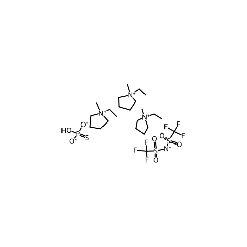 CC[N+]1(C)CCCC1.CC[N+]1(C)CCCC1.CC[N+]1(C)CCCC1.O=S(=O)([N-]S(=O)(=O)C(F)(F)F)C(F)(F)F.[O-]P([O-])(O)=S